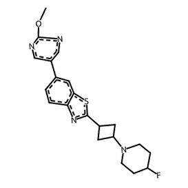 COc1ncc(-c2ccc3nc(C4CC(N5CCC(F)CC5)C4)sc3c2)cn1